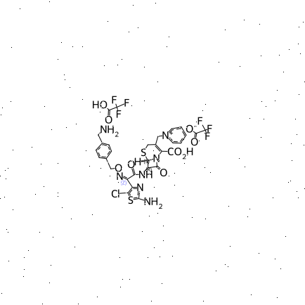 NCc1ccc(CO/N=C(\C(=O)N[C@@H]2C(=O)N3C(C(=O)O)=C(C[n+]4ccccc4)CS[C@@H]23)c2nc(N)sc2Cl)cc1.O=C(O)C(F)(F)F.O=C([O-])C(F)(F)F